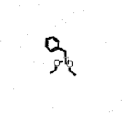 CC[O][Ti]([CH2]c1ccccc1)[O]CC